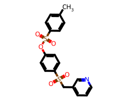 Cc1ccc(S(=O)(=O)Oc2ccc(S(=O)(=O)Cc3cccnc3)cc2)cc1